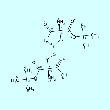 CC(C)(C)OC(=O)[C@](N)(CSSC[C@](N)(C(=O)O)C(=O)OC(C)(C)C)C(=O)O